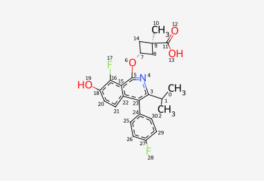 CC(C)c1nc(O[C@H]2C[C@](C)(C(=O)O)C2)c2c(F)c(O)ccc2c1-c1ccc(F)cc1